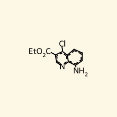 CCOC(=O)c1cnc2c(N)cccc2c1Cl